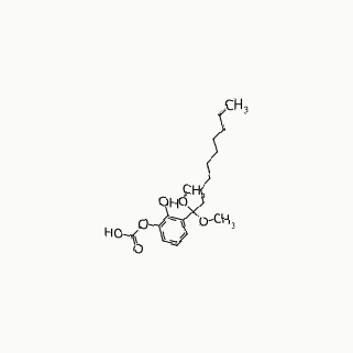 CCCCCCCCCC(OC)(OC)c1cccc(OC(=O)O)c1O